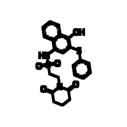 O=C1CCCC(=O)N1CCS(=O)(=O)Nc1cc(Sc2ccccc2)c(O)c2ccccc12